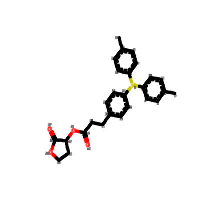 Cc1ccc([S+](c2ccc(C)cc2)c2ccc(CCC(=O)OC3CCOC3=O)cc2)cc1